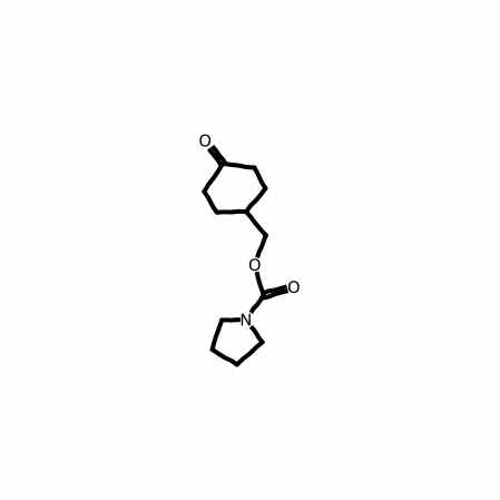 O=C1CCC(COC(=O)N2CCCC2)CC1